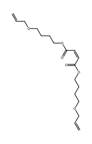 C=CCOCCCCOC(=O)/C=C\C(=O)OCCCCOCC=C